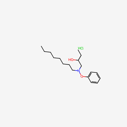 CCCCCCCCN(CC(O)CC)Oc1ccccc1.Cl